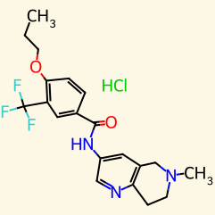 CCCOc1ccc(C(=O)Nc2cnc3c(c2)CN(C)CC3)cc1C(F)(F)F.Cl